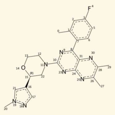 Cc1cc(F)ccc1-c1nc(N2CCO[C@H](c3cnn(C)c3)C2)nc2nc(C)c(C)nc12